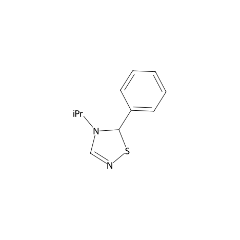 CC(C)N1C=NSC1c1ccccc1